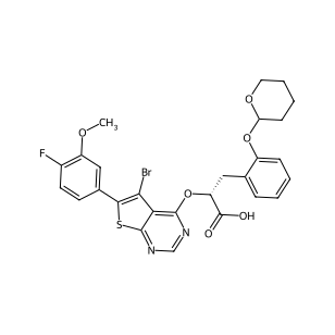 COc1cc(-c2sc3ncnc(O[C@H](Cc4ccccc4OC4CCCCO4)C(=O)O)c3c2Br)ccc1F